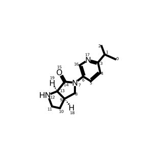 CC(C)c1ccc(N2C[C@H]3CCN[C@H]3C2=O)cn1